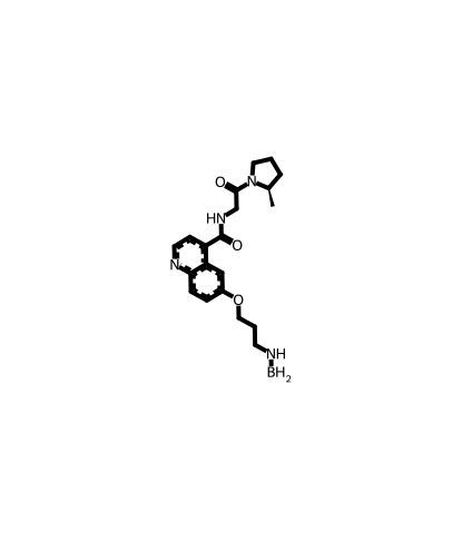 BNCCCOc1ccc2nccc(C(=O)NCC(=O)N3CCC[C@H]3C)c2c1